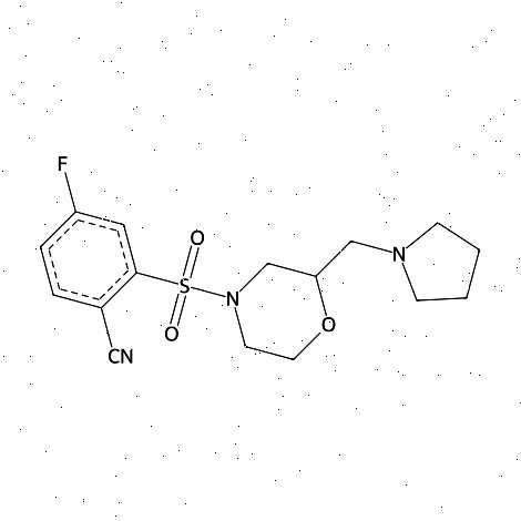 N#Cc1ccc(F)cc1S(=O)(=O)N1CCOC(CN2CCCC2)C1